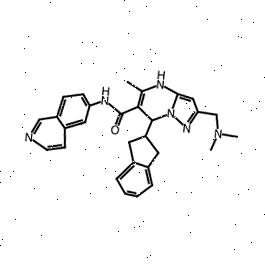 CC1=C(C(=O)Nc2ccc3cnccc3c2)C(C2Cc3ccccc3C2)n2nc(CN(C)C)cc2N1